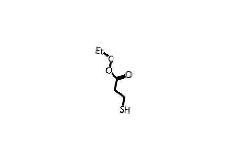 CCOOC(=O)CCS